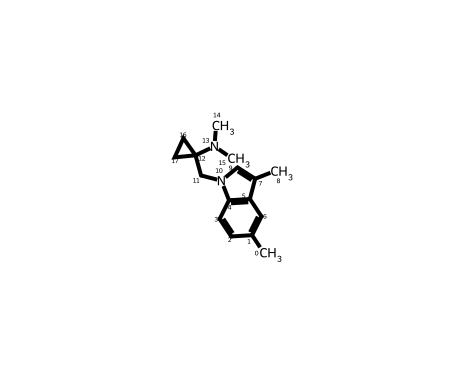 Cc1ccc2c(c1)c(C)cn2CC1(N(C)C)CC1